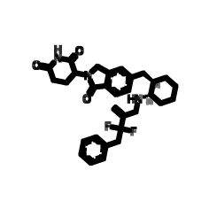 C=C(CN[C@H]1CCCC[C@@H]1Cc1ccc2c(c1)CN(C1CCC(=O)NC1=O)C2=O)C(F)(F)Cc1ccccc1